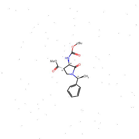 COC(=O)[C@H]1CN([C@@H](C)c2ccccc2)C(=O)[C@@H]1NC(=O)OC(C)(C)C